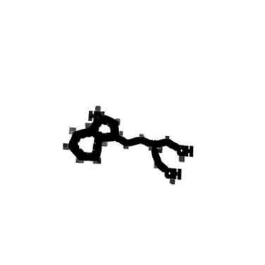 OCN(CO)CCc1c[nH]c2ccccc12